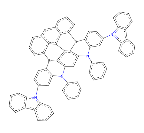 c1ccc(N2c3cc(-n4c5ccccc5c5ccccc54)ccc3B3c4c2cc2c5c4-c4c6c3cccc6cc3cccc(c43)B5c3ccc(-n4c5ccccc5c5ccccc54)cc3N2c2ccccc2)cc1